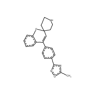 Cc1nc(-c2ccc(C3=CC4(CCNCC4)Oc4ccccc43)cc2)no1